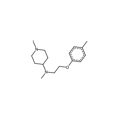 Cc1ccc(OCCN(C)C2CCN(I)CC2)cc1